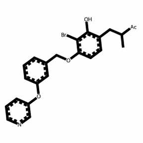 CC(=O)C(C)Cc1ccc(OCc2cccc(Oc3cccnc3)c2)c(Br)c1O